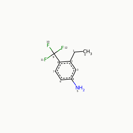 CCc1cc(N)ccc1C(F)(F)F